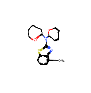 COc1cccc2sc(N(C3CCCCO3)C3CCCCO3)nc12